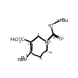 CCCCC1=C(C(=O)O)CN(C(=O)OC(C)(C)C)CC1